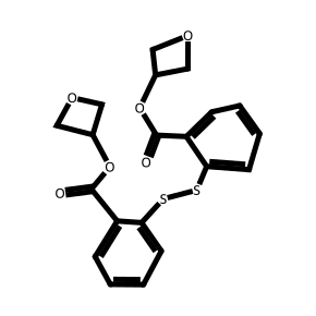 O=C(OC1COC1)c1ccccc1SSc1ccccc1C(=O)OC1COC1